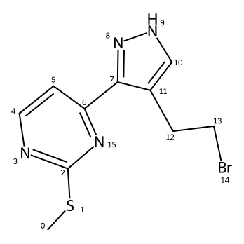 CSc1nccc(-c2n[nH]cc2CCBr)n1